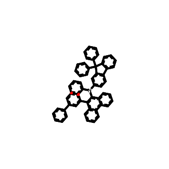 c1ccc(-c2cccc(-c3c(N(c4ccccc4)c4ccc5c(c4)C(c4ccccc4)(c4ccccc4)c4ccccc4-5)c4ccccc4c4ccccc34)c2)cc1